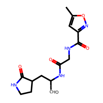 Cc1cc(C(=O)NCC(=O)NC(C=O)CC2CCNC2=O)no1